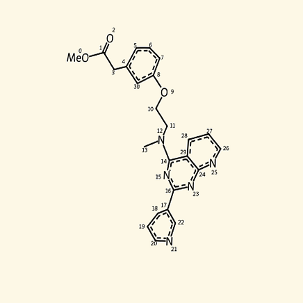 COC(=O)Cc1cccc(OCCN(C)c2nc(-c3cccnc3)nc3ncccc23)c1